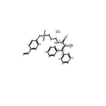 C=Cc1ccc(C[N+](C)(C)CCCNC(=O)C(C#N)=C(c2ccccc2)c2ccccc2)cc1.[Cl-]